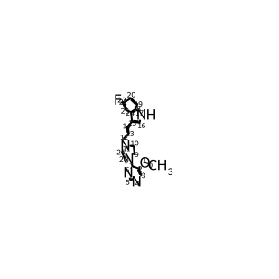 COc1cncnc1N1CCN(CC=Cc2c[nH]c3ccc(F)cc23)CC1